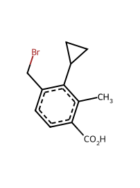 Cc1c(C(=O)O)ccc(CBr)c1C1CC1